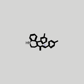 C=C(/C=C/c1ccc(C)cc1)C1=C(c2cccc(C)c2)c2ccccc2NCC1